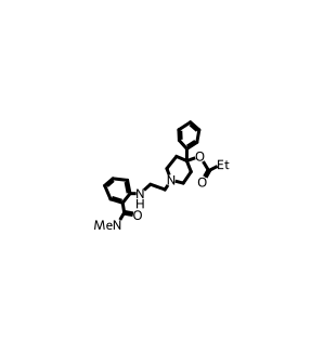 CCC(=O)OC1(c2ccccc2)CCN(CCNc2ccccc2C(=O)NC)CC1